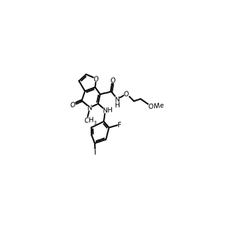 COCCONC(=O)c1c(Nc2ccc(I)cc2F)n(C)c(=O)c2ccoc12